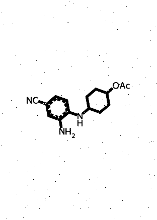 CC(=O)OC1CCC(Nc2ccc(C#N)cc2N)CC1